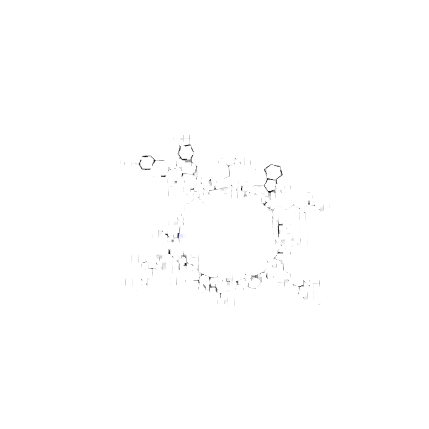 C[C@H](O)[C@H]1NC(=O)[C@H](NC(=O)[C@@H](CS)NC(=O)CN)C/C(N=N)=C\NCCC[C@@H](C(=O)N[C@H](Cc2ccc(O)cc2)C(=O)N(C)[C@@H](Cc2ccc(O)cc2)C(=O)O)NC(=O)[C@H](CCC(N)=O)NC(=O)[C@@H](Cc2c[nH]c3ccccc23)NC(=O)[C@H](CCCNC(N)=O)NC(=O)[C@@H](CS)NC(=O)[C@H](CCCNC(=N)N)NC(=O)[C@H]2CCCN2C(=O)[C@H](CC(=O)O)NC1=O